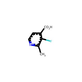 Cc1nccc(C(=O)O)c1F